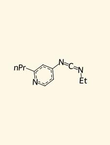 CCCc1cc(N=C=NCC)ccn1